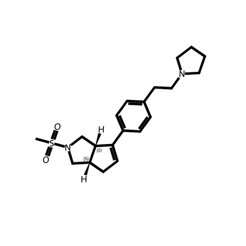 CS(=O)(=O)N1C[C@H]2CC=C(c3ccc(CCN4CCCC4)cc3)[C@H]2C1